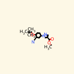 CCOC(=O)c1cnn(-c2ccc(OCC(C)(C)C)c(C#N)c2)c1